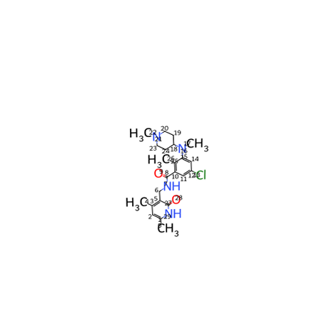 Cc1cc(C)c(CNC(=O)c2cc(Cl)cc(N(C)C3CCN(C)CC3)c2C)c(=O)[nH]1